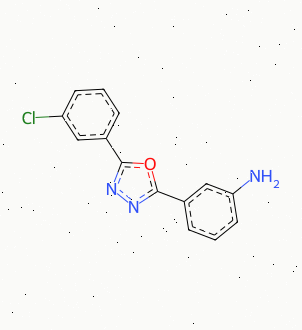 Nc1cccc(-c2nnc(-c3cccc(Cl)c3)o2)c1